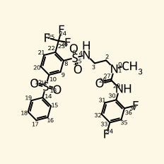 CN(CCNS(=O)(=O)c1cc(S(=O)(=O)c2ccccc2)ccc1C(F)(F)F)C(=O)Nc1ccc(F)cc1F